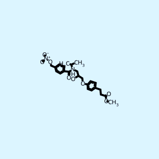 COC(=O)CCc1ccc(OCC(O)CN(C(=O)c2ccc(CO[N+](=O)[O-])cc2)C(C)C)cc1